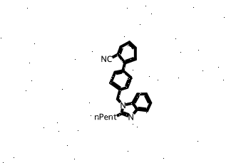 CCCCCc1nc2ccccc2n1Cc1ccc(-c2ccccc2C#N)cc1